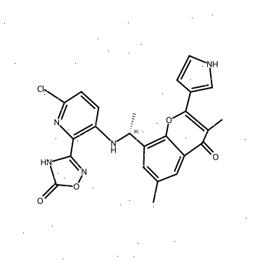 Cc1cc([C@@H](C)Nc2ccc(Cl)nc2-c2noc(=O)[nH]2)c2oc(-c3cc[nH]c3)c(C)c(=O)c2c1